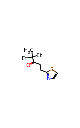 CCC(C)(CC)C(=O)CCc1nccs1